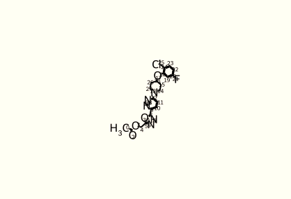 CC(=O)OCc1nnc(-c2ccc(N3CCC(Oc4cc(F)ccc4Cl)CC3)nn2)o1